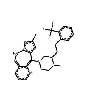 Cc1cc2c(s1)NC=c1cccnc1=C2N1CCN(C)C(CCc2ccccc2C(F)(F)F)C1